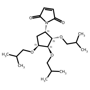 CC(C)CO[C@@H]1[C@@H](OCC(C)C)[C@@H](N2C(=O)C=CC2=O)C[C@@H]1OCC(C)C